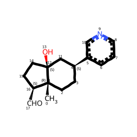 C[C@]12CC[C@H](c3cccnc3)C[C@@]1(O)CC[C@@H]2C=O